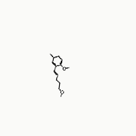 COCCC/C=C/C1=CC(C)CC=C1OC